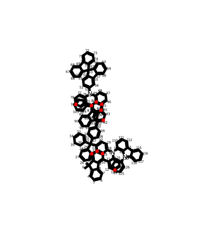 CC1(C)c2ccccc2-c2c(-c3ccccc3N(c3ccc4c(c3)-c3ccccc3C4(C3=CC=CCC3)c3ccc(-c4ccc5c6cccc(N(c7ccc8c(c7)-c7ccccc7C87c8ccccc8-c8ccccc87)c7ccccc7-c7cccc8c7-c7ccccc7C8(C)C)c6n(-c6ccccc6)c5c4)cc3)c3cccc4c5ccccc5n(-c5ccccc5)c34)cccc21